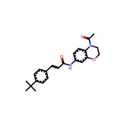 CC(=O)N1CCOc2cc(NC(=O)/C=C/c3ccc(C(C)(C)C)cc3)ccc21